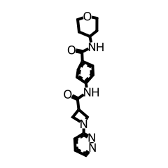 O=C(NC1CCOCC1)c1ccc(NC(=O)C2CN(c3cccnn3)C2)cc1